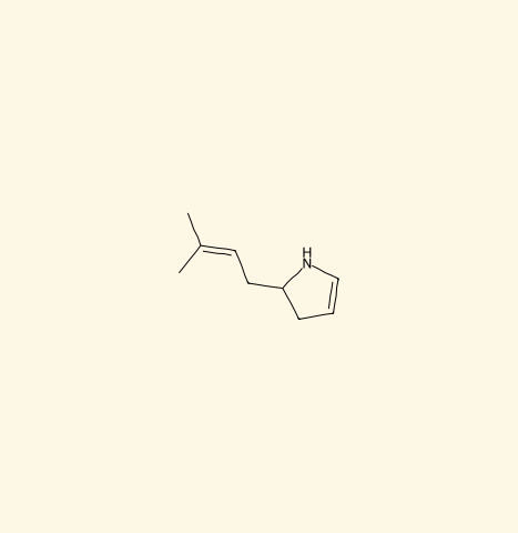 CC(C)=CCC1CC=CN1